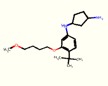 COCCCCOc1cc(NC2CCC(N)C2)ccc1C(C)(C)C